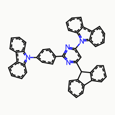 c1ccc2c(c1)-c1ccccc1C2c1cc(-n2c3ccccc3c3ccccc32)nc(-c2ccc(-n3c4ccccc4c4ccccc43)cc2)n1